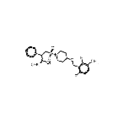 Cc1ccc(F)c(COC2CCN(S(=O)(=O)CC(c3ccccc3)N(O)C=O)CC2)c1F